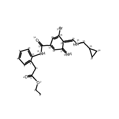 CCOC(=O)Cc1ccccc1NC(=O)C1=CC(=N)/C(=C\NCC2CC2)C(Br)=C1